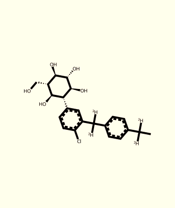 [2H]C([2H])(C)c1ccc(C([2H])([2H])c2cc([C@H]3[C@H](O)[C@@H](O)[C@H](O)[C@@H](CO)[C@@H]3O)ccc2Cl)cc1